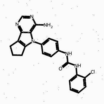 Nc1ncnc2c3c(n(-c4ccc(NC(=O)Nc5ccccc5Cl)cc4)c12)CCC3